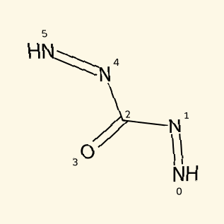 N=NC(=O)N=N